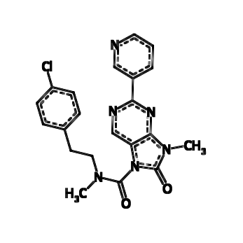 CN(CCc1ccc(Cl)cc1)C(=O)n1c(=O)n(C)c2nc(-c3cccnc3)ncc21